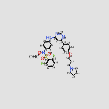 O=CON(c1ccc(Nc2cc(-c3ccc(OCCCN4CCCC4)cc3)ncn2)cc1)S(=O)(=O)c1c(F)cccc1F